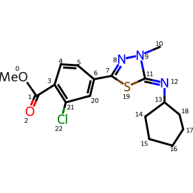 COC(=O)c1ccc(-c2nn(C)c(=NC3CCCCC3)s2)cc1Cl